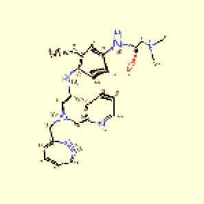 COc1cc(NC(=O)CN(C)C)ccc1NCCN(Cc1ccccn1)Cc1ccccn1